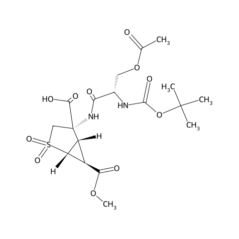 COC(=O)[C@@H]1[C@@H]2[C@H]1S(=O)(=O)C[C@@]2(NC(=O)[C@H](COC(C)=O)NC(=O)OC(C)(C)C)C(=O)O